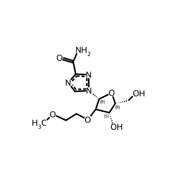 COCCOC1[C@@H](O)[C@@H](CO)O[C@H]1n1cnc(C(N)=O)n1